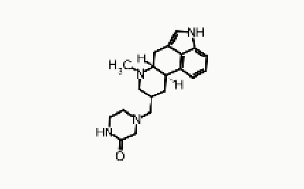 CN1C[C@H](CN2CCNC(=O)C2)C[C@@H]2c3cccc4[nH]cc(c34)C[C@H]21